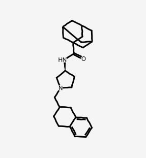 O=C(N[C@H]1CCN(CC2CCc3ccccc3C2)C1)C12CC3CC(CC(C3)C1)C2